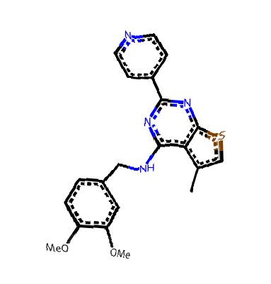 COc1ccc(CNc2nc(-c3ccncc3)nc3scc(C)c23)cc1OC